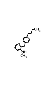 CCCCc1ccc(Cc2ncccc2NC)cc1